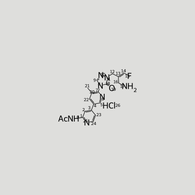 CC(=O)Nc1cc(-c2cnc(-n3cnn(C/C(=C/F)CN)c3=O)c(C)c2)ccn1.Cl